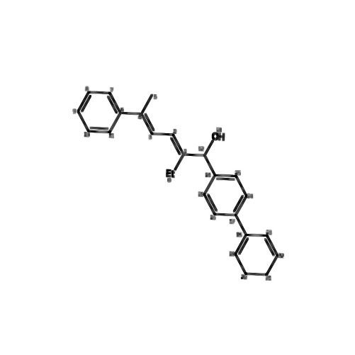 CC/C(=C\C=C(/C)c1ccccc1)C(O)c1ccc(C2=CCCC=C2)cc1